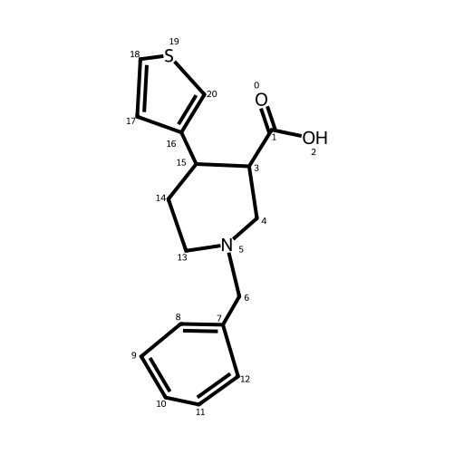 O=C(O)C1CN(Cc2ccccc2)CCC1c1ccsc1